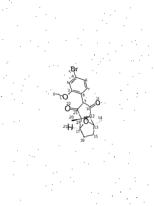 COc1cc(Br)ccc1C1C(=O)C2[C@@]3(C)CC[C@H](O3)[C@]2(C)C1=O